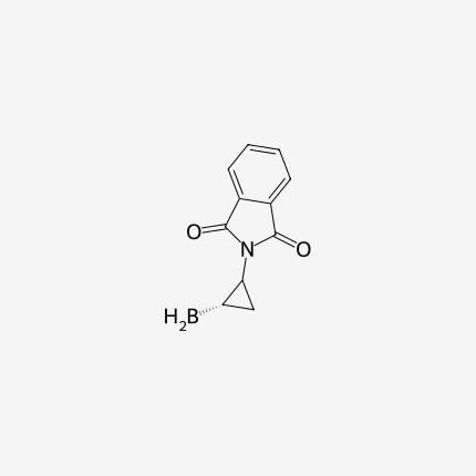 B[C@H]1CC1N1C(=O)c2ccccc2C1=O